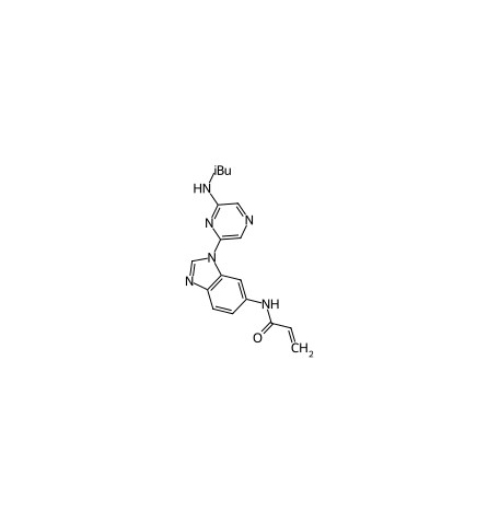 C=CC(=O)Nc1ccc2ncn(-c3cncc(NC(C)CC)n3)c2c1